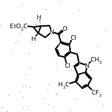 CCOC(=O)C1[C@H]2CN(C(=O)c3ccc(Cl)c(Cc4cc5c(C)cc(C(F)(F)F)cc5n4C)c3Cl)C[C@H]12